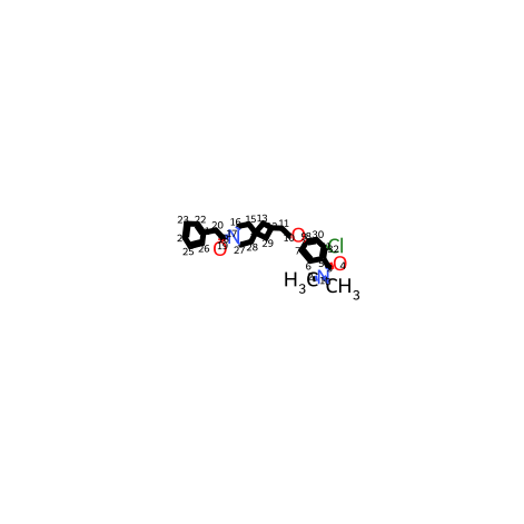 CN(C)C(=O)c1ccc(OCCC2CC3(CCN(C(=O)Cc4ccccc4)CC3)C2)cc1Cl